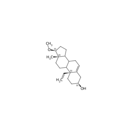 C=C[C@]12CC[C@H](O)CC1=CCC1C2CC[C@@]2(C)C1CC[C@@H]2OC